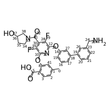 Cc1ccc(C(=O)O)c(Oc2nc(Oc3cccc(-c4cccc(CN)c4)c3)c(F)c(C(=O)N3CCC(O)C3)c2F)c1